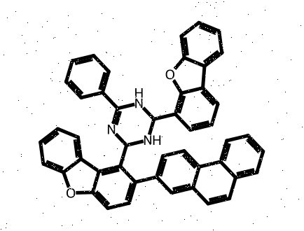 c1ccc(C2=NC(c3c(-c4ccc5c(ccc6ccccc65)c4)ccc4oc5ccccc5c34)NC(c3cccc4c3oc3ccccc34)N2)cc1